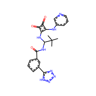 CC(C)(C)C(NC(=O)c1cccc(-c2nnn[nH]2)c1)Nc1c(Nc2cccnc2)c(=O)c1=O